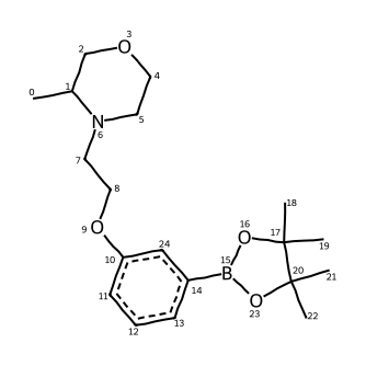 CC1COCCN1CCOc1cccc(B2OC(C)(C)C(C)(C)O2)c1